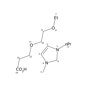 CCCN1C=CN(C)C1.CCOCCOCCC(=O)O